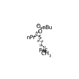 CCCCC(=O)OCC(CCC)SCCCCC(C)(F)F